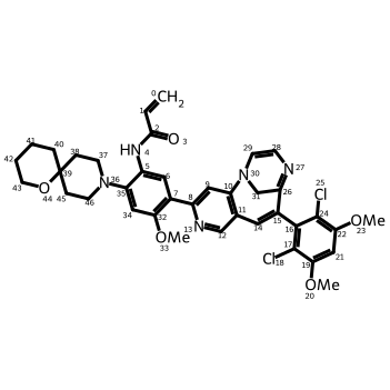 C=CC(=O)Nc1cc(-c2cc3c(cn2)C=C(c2c(Cl)c(OC)cc(OC)c2Cl)C2=NC=CN3C2)c(OC)cc1N1CCC2(CCCCO2)CC1